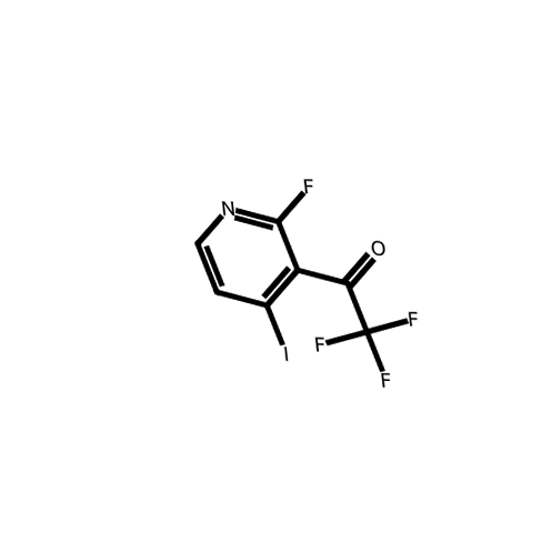 O=C(c1c(I)ccnc1F)C(F)(F)F